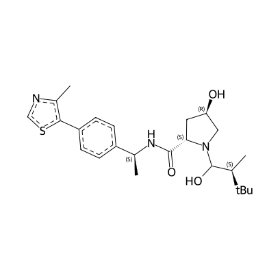 Cc1ncsc1-c1ccc([C@H](C)NC(=O)[C@@H]2C[C@@H](O)CN2C(O)[C@@H](C)C(C)(C)C)cc1